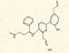 C=CCc1ccc(O)c(-c2ccc(OC(CCNC)c3ccccc3)c(CC=C)c2)c1.Cl